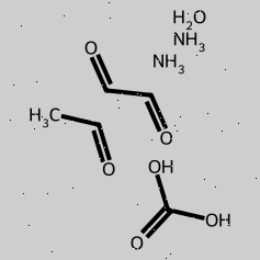 CC=O.N.N.O.O=C(O)O.O=CC=O